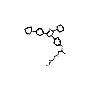 CCOCCOCC(C)Oc1ccc(C2CC(c3ccc(-c4ccccc4)cc3)=NN2c2ccccc2)cc1